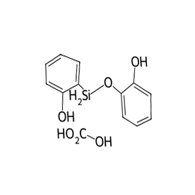 O=C(O)O.Oc1ccccc1O[SiH2]c1ccccc1O